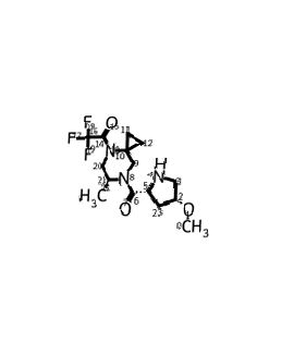 CO[C@H]1CN[C@@H](C(=O)N2CC3(CC3)N(C(=O)C(F)(F)F)C[C@@H]2C)C1